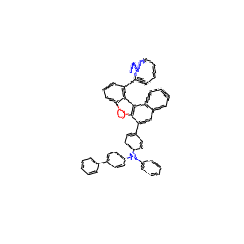 c1ccc(-c2ccc(N(c3ccccc3)c3ccc(-c4cc5ccccc5c5c4oc4cccc(-c6ccccn6)c45)cc3)cc2)cc1